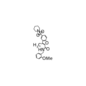 COc1ccccc1CNC(=O)c1oc2ccc(S(=O)(=O)N3CCCCC3)cc2c1C